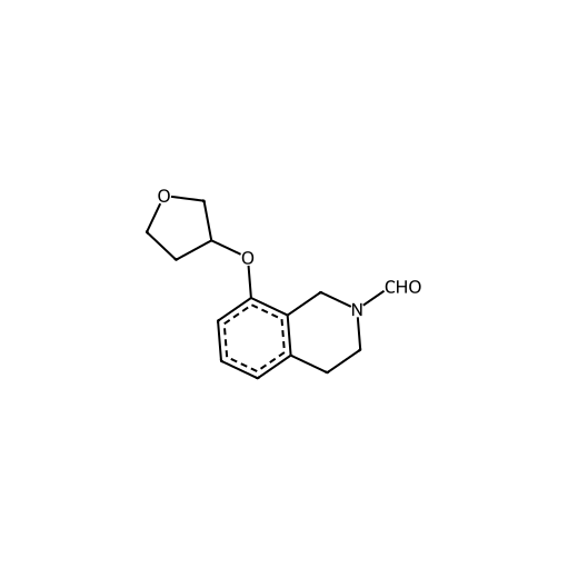 O=CN1CCc2cccc(OC3CCOC3)c2C1